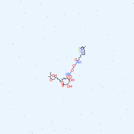 CCC(O)C(C)C1OC1CC(C)C=CC=C(C)C1OC(=O)CC(O)CCC(C)(O)C(OC(=O)NCCOCCOCCNC(=O)CCCCC2=[N+]3C(=Cc4c(C)cc(C)n4[B-]3(F)F)C=C2)/C=C/C1C